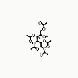 CC(=O)OCC(O)[C@@H](OC(C)=O)[C@H](OC(C)=O)C(COC(C)=O)OC(C)=O